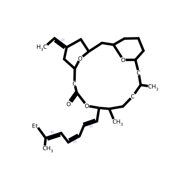 C/C=C1\CC2CC(=O)OC(/C=C/C=C\C=C(/C)CC)C(C)CCC(C)CC3CCCC(CC(C1)O2)O3